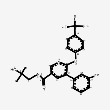 CC(C)(O)CNC(=O)c1cnc(Oc2ccc(C(F)(F)F)cc2)c(-c2cccc(F)c2)c1